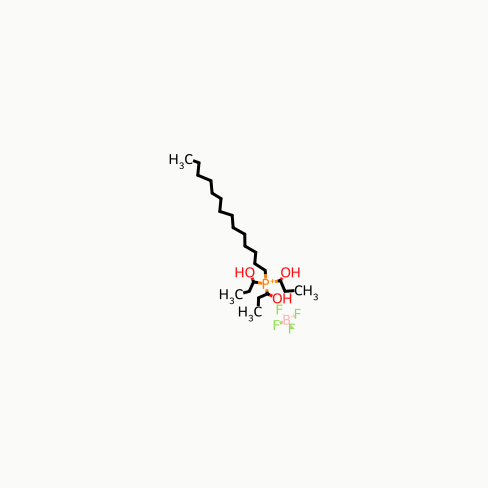 CCCCCCCCCCCCCC[P+](C(O)CC)(C(O)CC)C(O)CC.F[B-](F)(F)F